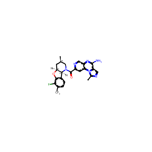 Cc1ncc2c(N)nc3cnc(C(=O)N4C[C@H](C)C[C@@H]5Oc6c(ccc(C(F)(F)F)c6F)[C@@H]54)cc3n12